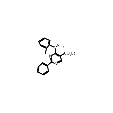 CCOC(=O)c1cnc(-c2ccccc2)nc1N(N)c1ccccc1C